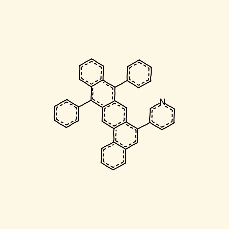 c1ccc(-c2c3ccccc3c(-c3ccccc3)c3cc4c(cc23)c(-c2cccnc2)cc2ccccc24)cc1